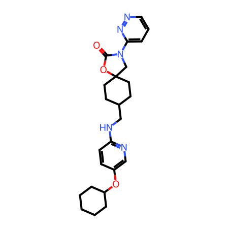 O=C1OC2(CCC(CNc3ccc(OC4CCCCC4)cn3)CC2)CN1c1cccnn1